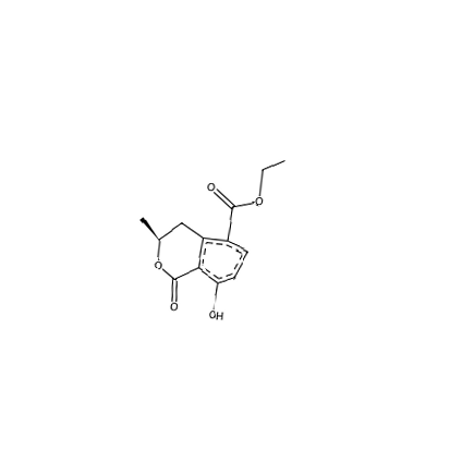 CCOC(=O)c1ccc(O)c2c1C[C@H](C)OC2=O